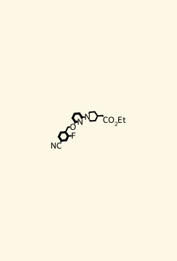 CCOC(=O)CC1CCN(c2cccc(OCc3ccc(C#N)cc3F)n2)CC1